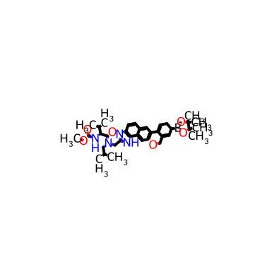 COC(=O)N[C@H](C(=O)N(Cc1nc2ccc3cc4c(cc3c2[nH]1)OCC1=CC(B2OC(C)(C)C(C)(C)O2)CC=C14)CC(C)C)C(C)C